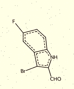 O=Cc1[nH]c2ccc(F)cc2c1Br